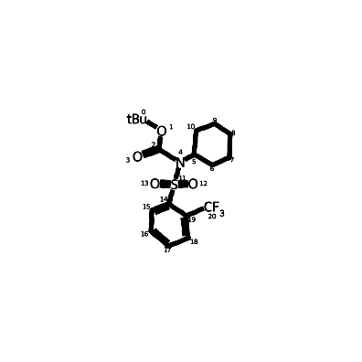 CC(C)(C)OC(=O)N(C1CCCCC1)S(=O)(=O)c1ccccc1C(F)(F)F